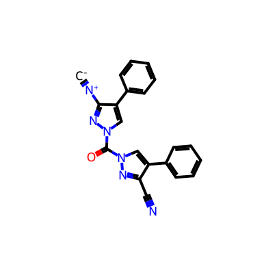 [C-]#[N+]c1nn(C(=O)n2cc(-c3ccccc3)c(C#N)n2)cc1-c1ccccc1